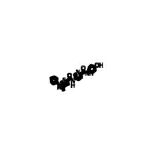 Cc1nn(-c2ccccc2)c2sc(C(=O)Nc3ccc(C(=O)NC4CCC(O)CC4)nc3)cc12